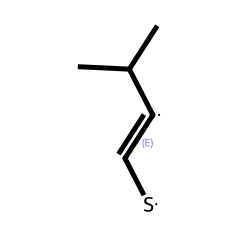 CC(C)/[C]=C/[S]